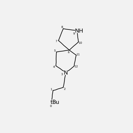 CC(C)(C)CCN1CCC2(CCNC2)CC1